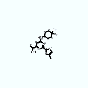 Cc1csc(-c2nc(NC3CCC(F)(F)CC3)cc(C(C)O)n2)n1